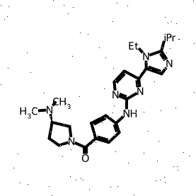 CCn1c(-c2ccnc(Nc3ccc(C(=O)N4CC[C@@H](N(C)C)C4)cc3)n2)cnc1C(C)C